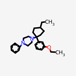 CCOc1cccc(C2(N3CCN(c4ccccc4)CC3)CCC(CC)CC2)c1